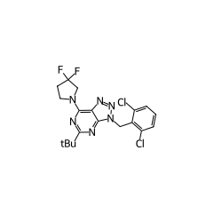 CC(C)(C)c1nc(N2CCC(F)(F)C2)c2nnn(Cc3c(Cl)cccc3Cl)c2n1